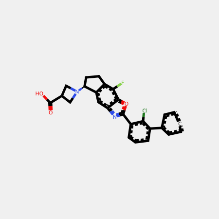 O=C(O)C1CN([C@H]2CCc3c2cc2nc(-c4cccc(-c5ccccc5)c4Cl)oc2c3F)C1